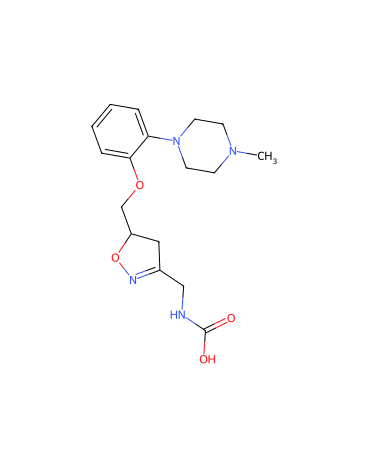 CN1CCN(c2ccccc2OCC2CC(CNC(=O)O)=NO2)CC1